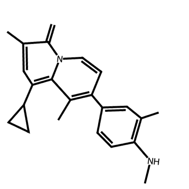 C=C1C(C)=CC(C2CC2)=C2C(C)=C(c3ccc(NC)c(C)c3)C=CN12